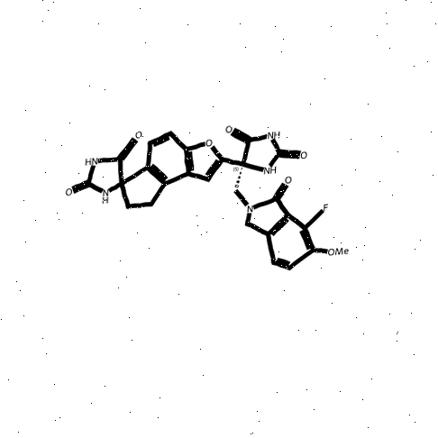 COc1ccc2c(c1F)C(=O)N(C[C@@]1(c3cc4c5c(ccc4o3)C3(CC5)NC(=O)NC3=O)NC(=O)NC1=O)C2